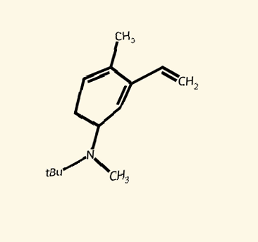 C=CC1=CC(N(C)C(C)(C)C)CC=C1C